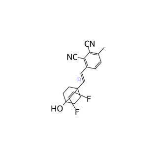 Cc1ccc(/C=C/C23CCC(O)(CC2)C(F)=C3F)c(C#N)c1C#N